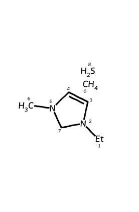 C.CCN1C=CN(C)C1.S